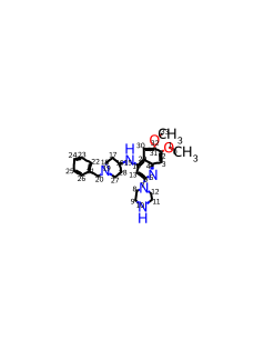 COc1cc2nc(N3CCNCC3)cc(NC3CCN(Cc4ccccc4)CC3)c2cc1OC